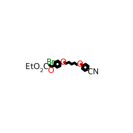 CCOC(=O)C(Br)C(=O)c1ccc(OCCCCCOc2ccc(C#N)cc2)cc1